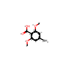 Bc1cc(OC)c(C(=O)O)c(OC)c1